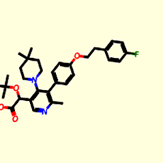 Cc1ncc(C(OC(C)(C)C)C(=O)O)c(N2CCC(C)(C)CC2)c1-c1ccc(OCCc2ccc(F)cc2)cc1